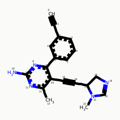 C#Cc1cccc(-c2nc(N)nc(C)c2C#CC2CN=CN2C)c1